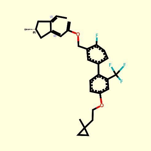 C=C(/C=C1/C[C@H](C)C/C1=C/C)OCc1cc(-c2ccc(OCCC3(C)CC3)cc2C(F)(F)F)ccc1F